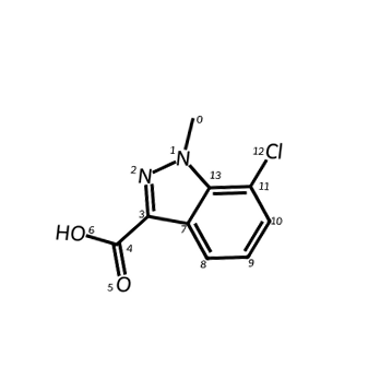 Cn1nc(C(=O)O)c2cccc(Cl)c21